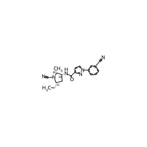 CC[C@H]1C[C@@H](NC(=O)c2ccn(-c3cccc(C#N)c3)n2)[C@@H](C)N1C#N